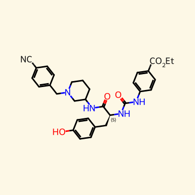 CCOC(=O)c1ccc(NC(=O)N[C@@H](Cc2ccc(O)cc2)C(=O)NC2CCCN(Cc3ccc(C#N)cc3)C2)cc1